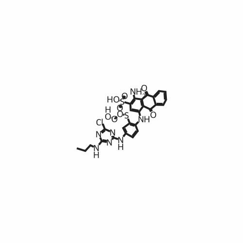 CCCNc1nc(Cl)nc(Nc2ccc(Nc3cc(S(=O)(=O)O)c(N)c4c3C(=O)c3ccccc3C4=O)c(SOOO)c2)n1